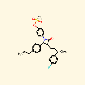 C=CCc1ccc([C@@H]2C(CC[C@H](OC(C)=O)c3ccc(F)cc3)C(=O)N2c2ccc(OS(=O)(=O)C(F)(F)F)cc2)cc1